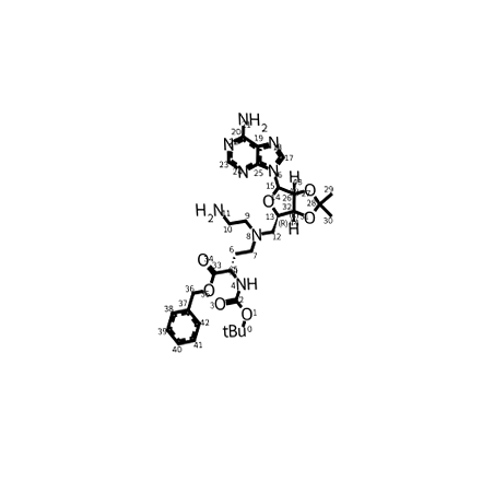 CC(C)(C)OC(=O)N[C@@H](CCN(CCN)C[C@H]1OC(n2cnc3c(N)ncnc32)[C@@H]2OC(C)(C)O[C@H]12)C(=O)OCc1ccccc1